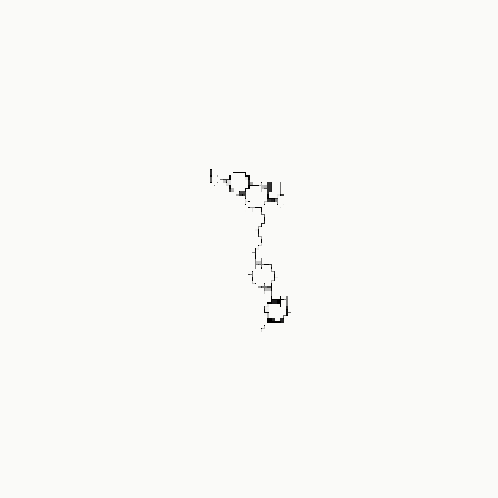 COc1ccc2c(c1)SC(CCCCN1CCN(c3cc(C)ccn3)CC1)C(=O)N2